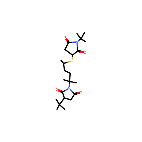 CC(CCC(C)(C)N1C(=O)CC(C(C)(C)C)C1=O)SC1CC(=O)N(C(C)(C)C)C1=O